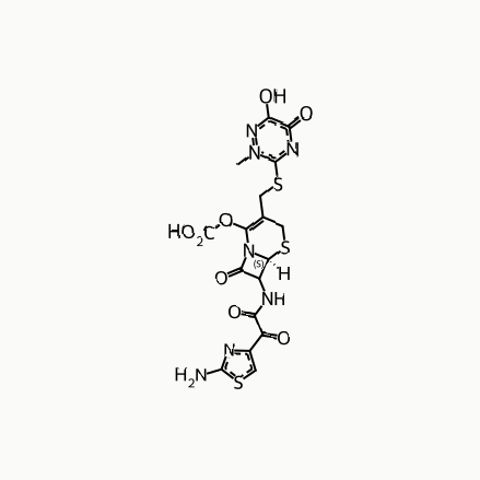 Cn1nc(O)c(=O)nc1SCC1=C(OC(=O)O)N2C(=O)C(NC(=O)C(=O)c3csc(N)n3)[C@@H]2SC1